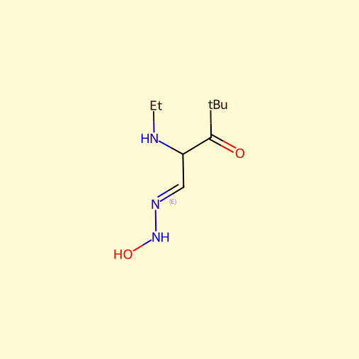 CCNC(/C=N/NO)C(=O)C(C)(C)C